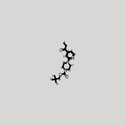 CCC(=O)c1ccnc(N2CCN(C(=O)OCC(C)(C)C)CC2)c1